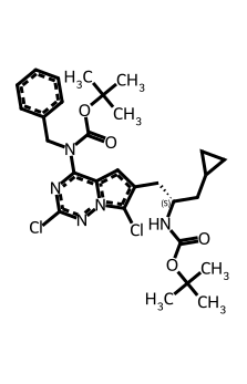 CC(C)(C)OC(=O)N[C@H](Cc1cc2c(N(Cc3ccccc3)C(=O)OC(C)(C)C)nc(Cl)nn2c1Cl)CC1CC1